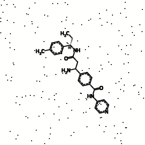 CC[C@H](NC(=O)CC(N)c1ccc(C(=O)Nc2ccncc2)cc1)c1ccc(C)cc1